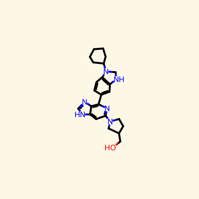 OCC1CCN(c2cc3[nH]cnc3c(-c3ccc4c(c3)NCN4C3CCCCC3)n2)C1